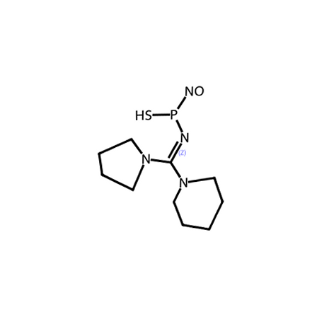 O=NP(S)/N=C(/N1CCCCC1)N1CCCC1